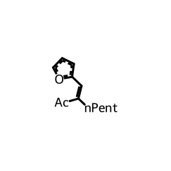 CCCCCC(=Cc1ccco1)C(C)=O